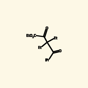 CCOC(=O)C(=O)C(CC)(CC)C(=O)C(C)C